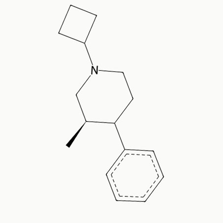 C[C@H]1CN(C2CCC2)CCC1c1ccccc1